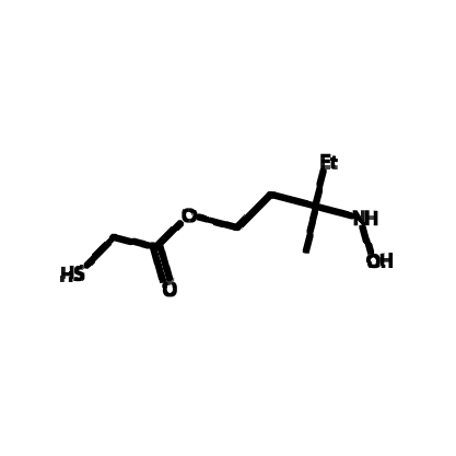 CCC(C)(CCOC(=O)CS)NO